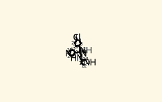 Clc1ccc(-c2[nH]nc(Nc3cc[nH]c3)c2-c2ccncc2)cc1